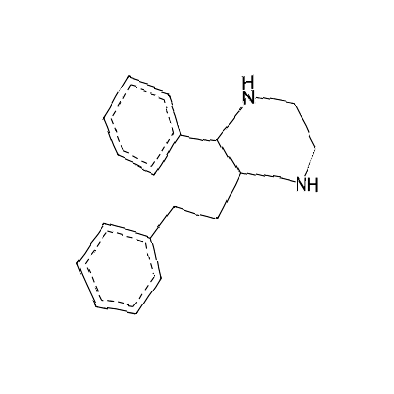 c1ccc(CCC2NCCNC2c2ccccc2)cc1